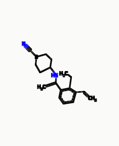 C=Cc1cccc(C(=C)NC2CCB(C#N)CC2)c1CC